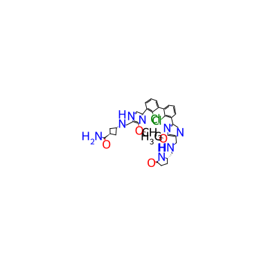 COc1nc(-c2cccc(-c3cccc(-c4cnc(CN[C@H]5C[C@H](C(N)=O)C5)c(OC)n4)c3Cl)c2Cl)cnc1CNC[C@@H]1CCC(=O)N1